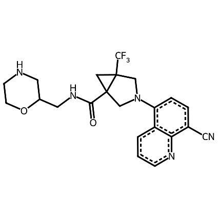 N#Cc1ccc(N2CC3(C(=O)NCC4CNCCO4)CC3(C(F)(F)F)C2)c2cccnc12